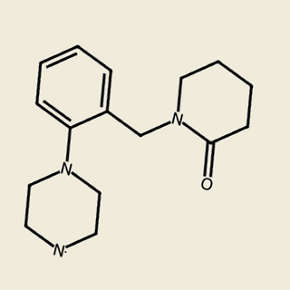 O=C1CCCCN1Cc1ccccc1N1CC[N]CC1